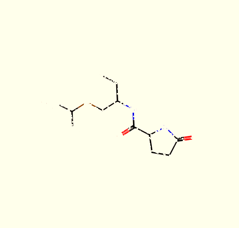 CC(C)CC(CSC(C(=O)O)C(C)(C)C)NC(=O)C1CCC(=O)N1